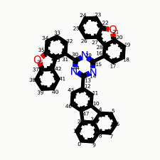 c1cc2c3c(cccc3c1)-c1cc(-c3nc(-c4cccc5oc6ccccc6c45)nc(-c4cccc5oc6ccccc6c45)n3)ccc1-2